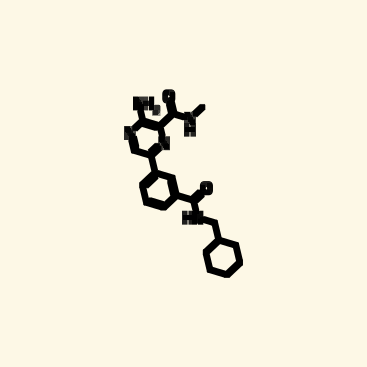 CNC(=O)c1nc(-c2cccc(C(=O)NCC3CCCCC3)c2)cnc1N